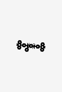 CC1(C)c2ccccc2N(c2ccc(-c3nc4cc5c(cc4o3)nc(-c3ccc(N4c6ccccc6C(C)(C)c6ccccc64)cc3)n5-c3ccccc3)cc2)c2ccccc21